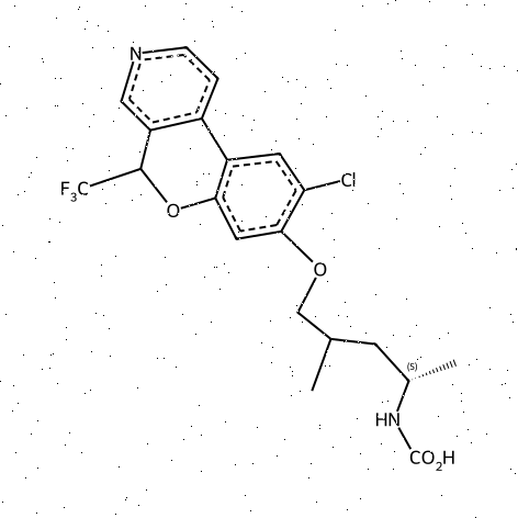 CC(COc1cc2c(cc1Cl)-c1ccncc1C(C(F)(F)F)O2)C[C@H](C)NC(=O)O